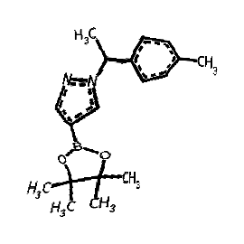 Cc1ccc(C(C)n2cc(B3OC(C)(C)C(C)(C)O3)cn2)cc1